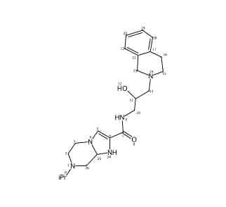 CC(C)N1CCN2C=C(C(=O)NCC(O)CN3CCc4ccccc4C3)NC2C1